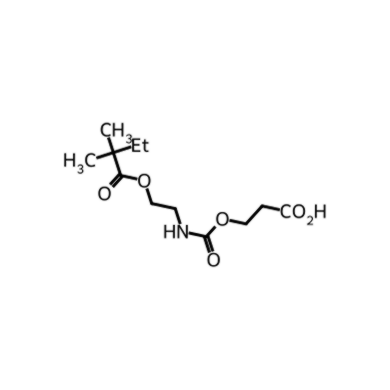 CCC(C)(C)C(=O)OCCNC(=O)OCCC(=O)O